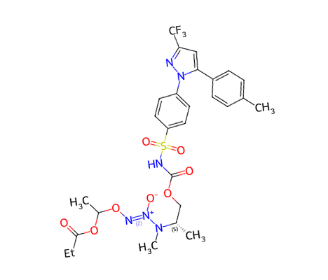 CCC(=O)OC(C)O/N=[N+](\[O-])N(C)[C@@H](C)COC(=O)NS(=O)(=O)c1ccc(-n2nc(C(F)(F)F)cc2-c2ccc(C)cc2)cc1